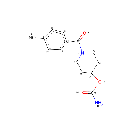 N#Cc1ccc(C(=O)N2CCC(OC(N)=O)CC2)cc1